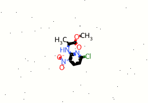 COC(=O)[C@H](C)Nc1nc(Cl)ccc1[N+](=O)[O-]